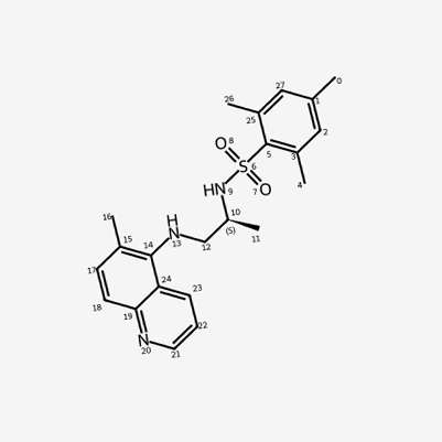 Cc1cc(C)c(S(=O)(=O)N[C@@H](C)CNc2c(C)ccc3ncccc23)c(C)c1